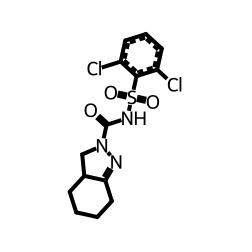 O=C(NS(=O)(=O)c1c(Cl)cccc1Cl)N1CC2CCCCC2=N1